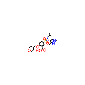 Cc1nn(C)cc1N(CC(C)C)S(=O)(=O)c1ccc(OCC2CCOCC2)c(C(=O)O)c1